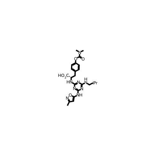 Cc1cc(Nc2nc(NCC(C)C)nc(N[C@@H](Cc3ccc(OC(=O)N(C)C)cc3)C(=O)O)n2)on1